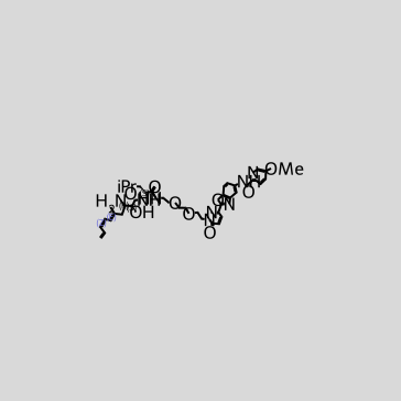 C=C/C=C\C=C(/C)C[C@@H](N)[C@H](O)C(=O)N[C@@H](CC(C)C)C(=O)NCCOCCOCCn1nc(-c2nc3cc(NC(=O)c4ccc(OC)cn4)ccc3o2)ccc1=O